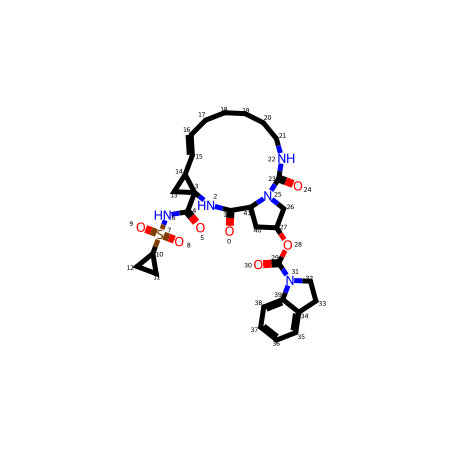 O=C1NC2(C(=O)NS(=O)(=O)C3CC3)CC2/C=C/CCCCCNC(=O)N2CC(OC(=O)N3CCc4ccccc43)CC12